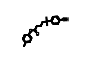 Cc1ccc(OC(=O)CCCC(C)(C)c2ccc(O)cc2)cc1